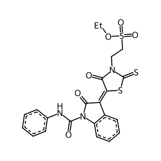 CCOS(=O)(=O)CCN1C(=O)C(=C2C(=O)N(C(=O)Nc3ccccc3)c3ccccc32)SC1=S